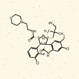 CC(C)CC(C)(C)C[C@H]1N[C@@H](C(=O)NCCN2CCOCC2)[C@H](c2cccc(Cl)c2F)[C@@]12C(=O)Nc1cc(Cl)c(F)cc12